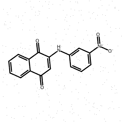 O=C1C=C(Nc2cccc([N+](=O)[O-])c2)C(=O)c2ccccc21